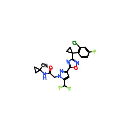 N#CC1(NC(=O)Cn2nc(-c3nc(C4(c5ccc(F)cc5Cl)CC4)no3)cc2C(F)F)CC1